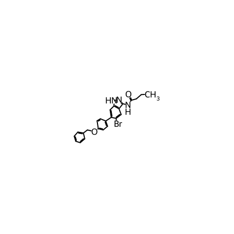 CCCC(=O)Nc1n[nH]c2cc(-c3ccc(OCc4ccccc4)cc3)c(Br)cc12